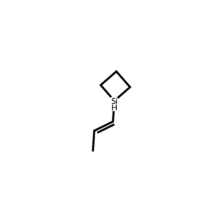 CC=C[SiH]1CCC1